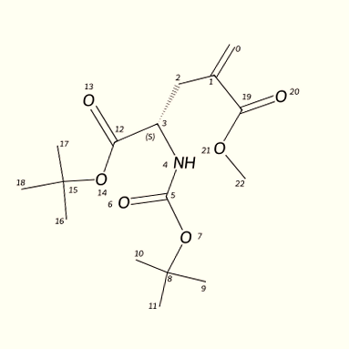 C=C(C[C@H](NC(=O)OC(C)(C)C)C(=O)OC(C)(C)C)C(=O)OC